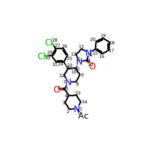 CC(=O)N1CCC(C(=O)N2CC[C@@H](N3CCN(c4ccccc4)C3=O)[C@H](c3ccc(Cl)c(Cl)c3)C2)CC1